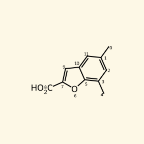 Cc1cc(C)c2oc(C(=O)O)cc2c1